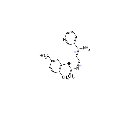 C=C(/N=C\C=C(/N)c1cccnc1)Nc1cc(C(=O)O)ccc1C